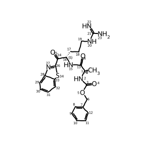 C[C@@H](NC(=O)OCc1ccccc1)C(=O)N[C@@H](CCCNC(=N)N)C(=O)c1nc2ccccc2s1